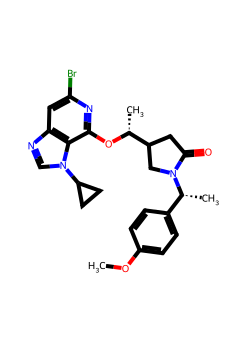 COc1ccc([C@@H](C)N2CC([C@@H](C)Oc3nc(Br)cc4ncn(C5CC5)c34)CC2=O)cc1